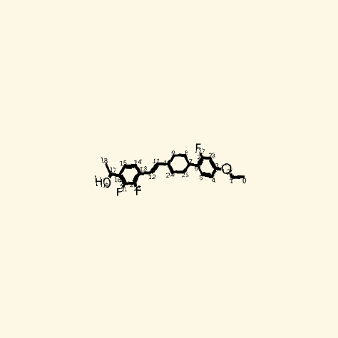 CCOc1ccc(C2CCC(/C=C/c3ccc(C(C)O)c(F)c3F)CC2)c(F)c1